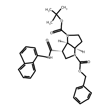 CC(C)(C)OC(=O)N1CC[C@@H]2[C@H]1[C@@H](C(=O)Nc1cccc3ccccc13)CN2C(=O)OCc1ccccc1